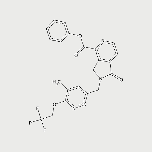 Cc1cc(CN2Cc3c(ccnc3C(=O)Oc3ccccc3)C2=O)nnc1OCC(F)(F)F